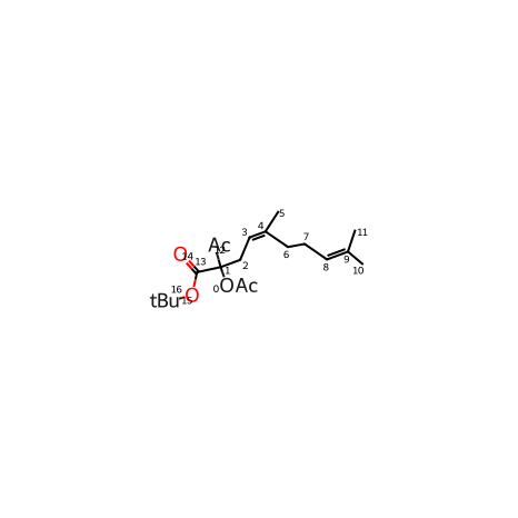 CC(=O)OC(CC=C(C)CCC=C(C)C)(C(C)=O)C(=O)OC(C)(C)C